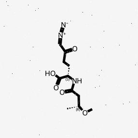 CO[C@H](C)CC(=O)N[C@@H](CCC(=O)C=[N+]=[N-])C(=O)O